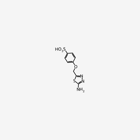 Nc1nnc(COc2ccc(S(=O)(=O)O)cc2)s1